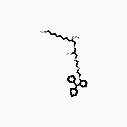 CCCCCCCCCCCCCCCCCCC(COCC(O)COCCOCCOc1ccccc1C(c1ccccc1)c1ccccc1)OC